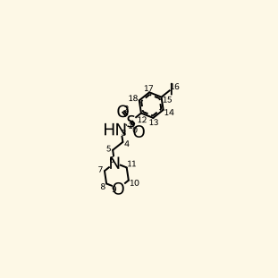 O=S(=O)(NCCN1CCOCC1)c1ccc(I)cc1